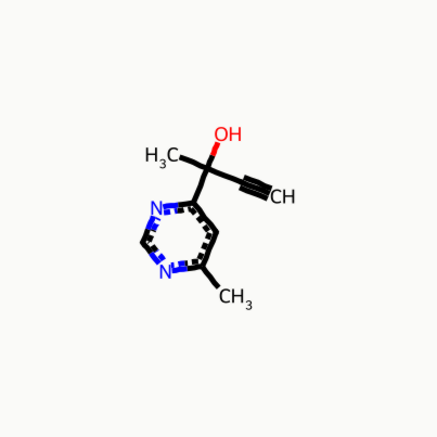 C#CC(C)(O)c1cc(C)ncn1